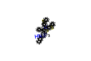 Cc1[nH]c2cc3ccccc3cc2c1/C=C\C=C\c1cc(-c2ccccc2)cc2c1Sc1cc3sc4ccccc4c3cc1N2c1ccc2sc3c(c2c1)C=CCC3